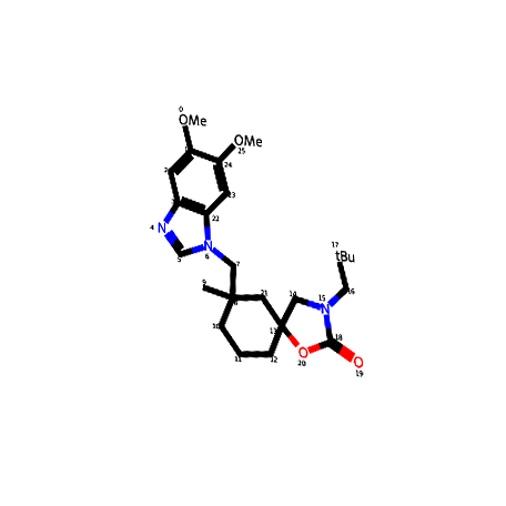 COc1cc2ncn(CC3(C)CCCC4(CN(CC(C)(C)C)C(=O)O4)C3)c2cc1OC